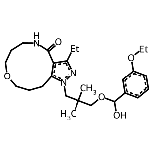 CCOc1cccc(C(O)OCC(C)(C)Cn2nc(CC)c3c2CCCOCCCNC3=O)c1